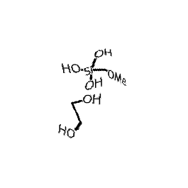 CO[Si](O)(O)O.OCCO